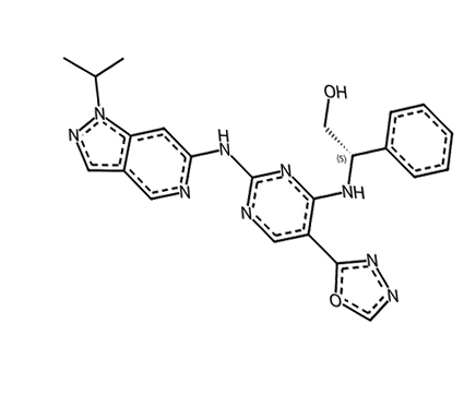 CC(C)n1ncc2cnc(Nc3ncc(-c4nnco4)c(N[C@H](CO)c4ccccc4)n3)cc21